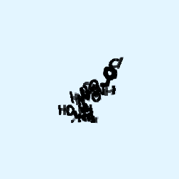 C[C@H](CO)Nc1nc(Nc2csc(S(=O)(=O)NCCc3ccc(Cl)cc3)c2)ncc1Br